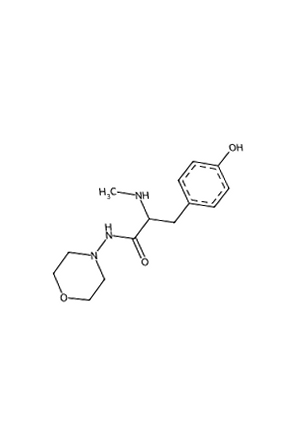 CNC(Cc1ccc(O)cc1)C(=O)NN1CCOCC1